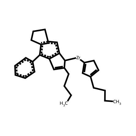 CCCCC1=CC[C]([Zr][CH]2C(CCCC)=Cc3c2cc2c(c3-c3ccccc3)CCC2)=C1